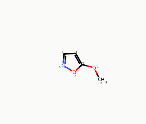 COc1ccno1